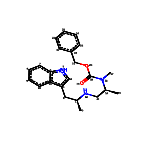 C[C@@H](Cc1c[nH]c2ccccc12)NC[C@H](C)N(C)C(=O)OCc1ccccc1